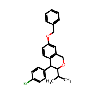 CC(C)C1OCc2cc(OCc3ccccc3)ccc2C1c1ccc(Br)cc1